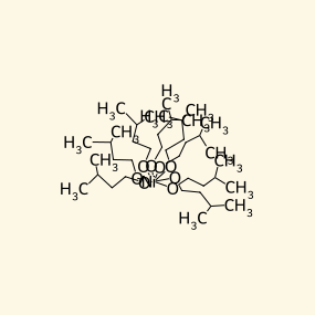 CC(C)CC[O][Ni]([O]CCC(C)C)([O]CCC(C)C)([O]CCC(C)C)([O]CCC(C)C)([O]CCC(C)C)([O]CCC(C)C)[O]CCC(C)C